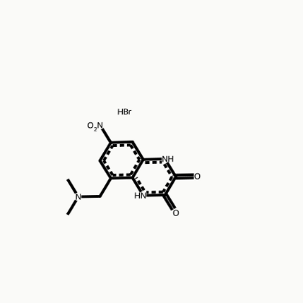 Br.CN(C)Cc1cc([N+](=O)[O-])cc2[nH]c(=O)c(=O)[nH]c12